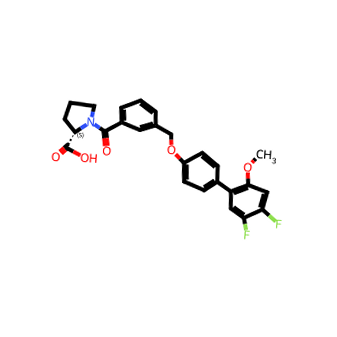 COc1cc(F)c(F)cc1-c1ccc(OCc2cccc(C(=O)N3CCC[C@H]3C(=O)O)c2)cc1